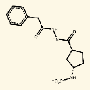 O=C(O)N[C@H]1CC[C@H](C(=O)NNC(=O)Cc2ccccc2)C1